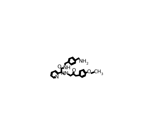 CCOc1ccc(CC(=O)CNC[C@H](C(=O)NCc2ccc(CN)cc2)c2ccccn2)cc1